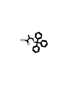 CC(CSC(c1ccccc1)(c1ccccc1)c1ccccc1)C(=O)O